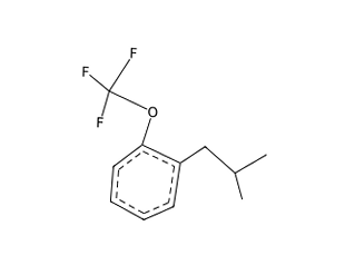 CC(C)Cc1ccccc1OC(F)(F)F